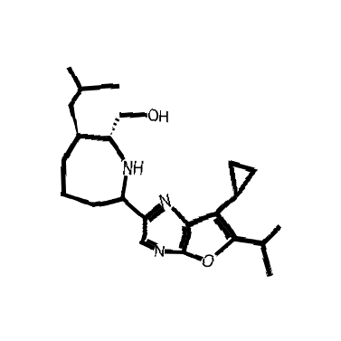 CC(C)C[C@@H]1CCCC(c2cnc3oc(C(C)C)c(C4CC4)c3n2)N[C@H]1CO